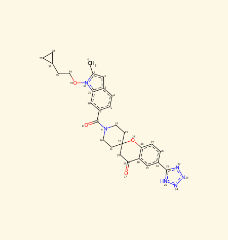 Cc1cc2ccc(C(=O)N3CCC4(CC3)CC(=O)c3cc(-c5nnn[nH]5)ccc3O4)cc2n1OCCC1CC1